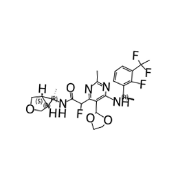 Cc1nc(N[C@H](C)c2cccc(C(C)(F)F)c2F)c(C2OCCO2)c(C(F)C(=O)N[C@@]2(C)[C@@H]3COC[C@@H]32)n1